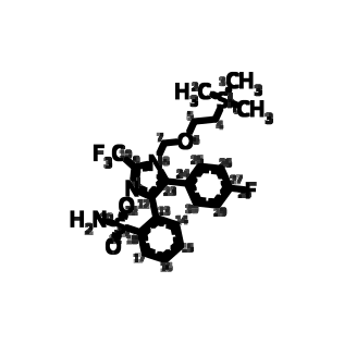 C[Si](C)(C)CCOCn1c(C(F)(F)F)nc(-c2ccccc2S(N)(=O)=O)c1-c1ccc(F)cc1